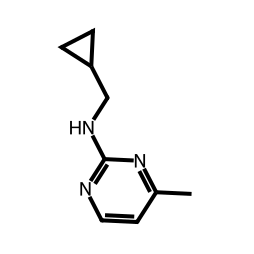 Cc1ccnc(NCC2CC2)n1